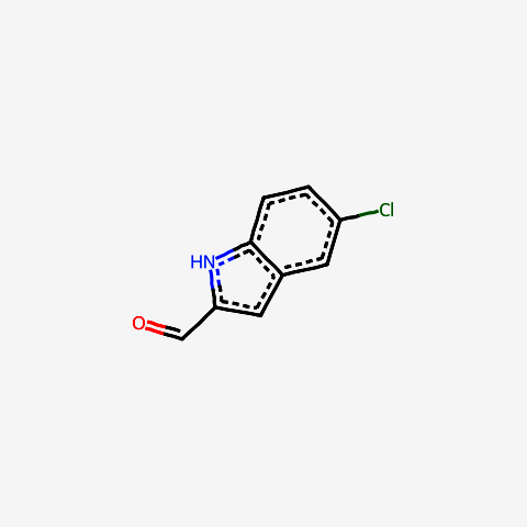 O=Cc1cc2cc(Cl)ccc2[nH]1